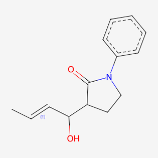 C/C=C/C(O)C1CCN(c2ccccc2)C1=O